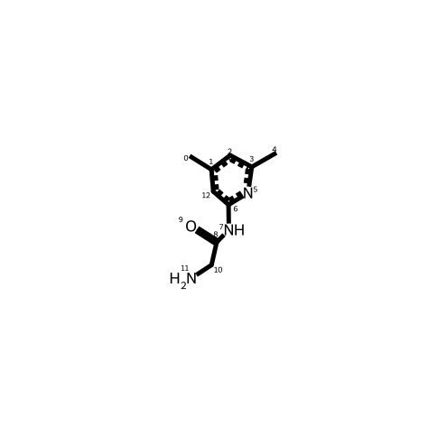 Cc1cc(C)nc(NC(=O)CN)c1